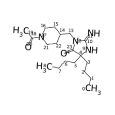 CCCCC1(CCCC)NC(=N)N(CC2CCN(C(C)=O)CC2)C1=O